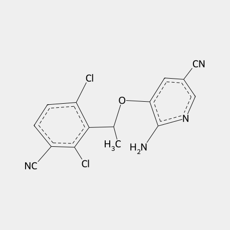 CC(Oc1cc(C#N)cnc1N)c1c(Cl)ccc(C#N)c1Cl